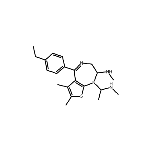 CCc1ccc(C2=NCC(NC)N(C(C)NC)c3sc(C)c(C)c32)cc1